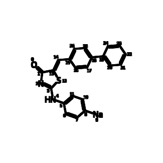 O=C1N=C(Nc2cc[c]([Na])cc2)SC1=Cc1ccc(-c2ccccc2)cc1